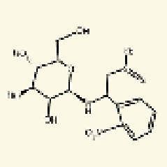 CCS(=S)CC(N[C@@H]1OC(CO)[C@@H](O)[C@H](O)C1O)c1ccccc1[N+](=O)[O-]